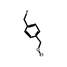 CCOCc1ccc(CF)cc1